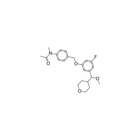 COC(c1cc(F)cc(OCc2ccc(N(C)C(C)=O)cc2)c1)C1CCOCC1